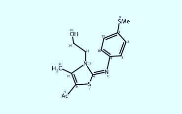 CSc1ccc(N=c2sc(C(C)=O)c(C)n2CCO)cc1